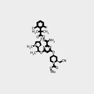 C[C@H](Oc1cc(O[C@H]2CCN(C(=O)OC(C)(C)C)[C@H](CC#N)C2)nc(C(N)=NOC(=O)C(C)(C)c2c(F)cccc2Cl)n1)[C@@H]1C[C@@H](F)CN1C